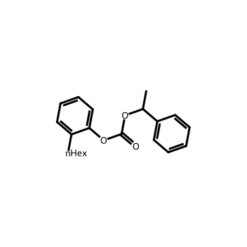 CCCCCCc1ccccc1OC(=O)OC(C)c1ccccc1